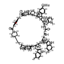 CNN1C(=O)[C@H](Cc2cncn2I)NC(=O)CNC(=O)[C@H](Cc2c[nH]c3ccc(F)cc23)NC(=O)[C@H](Cc2c[nH]c3ccc(I)cc23)NC(=O)[C@@H](C)N(N)C(=O)CCC2CCN(CC2)C(=O)c2ccc(cc2)C[C@@H](C(N)=O)NC(=O)C2CCCN2C(=O)[C@H]1Cc1ccc(OC)cc1